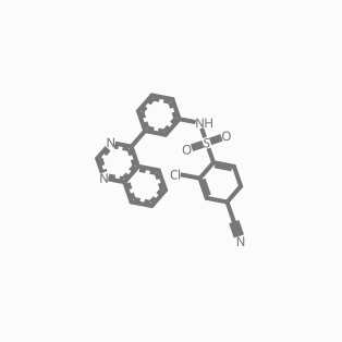 N#CC1C=C(Cl)C(S(=O)(=O)Nc2cccc(-c3ncnc4ccccc34)c2)=CC1